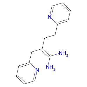 NC(N)=C(CCc1ccccn1)Cc1ccccn1